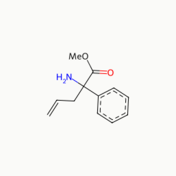 C=CCC(N)(C(=O)OC)c1ccccc1